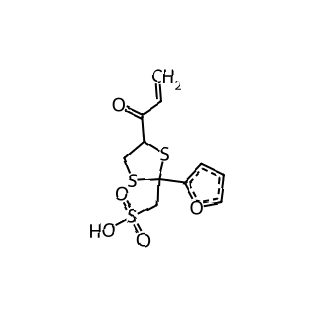 C=CC(=O)C1CSC(CS(=O)(=O)O)(c2ccco2)S1